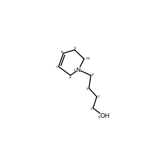 OCCCCN1CC=CCC1